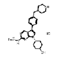 CCC[C@H](C)Nc1ncc2c(-c3ccc(CN4CCNCC4)cc3)cn([C@H]3CC[C@H](O)CC3)c2n1.Cl